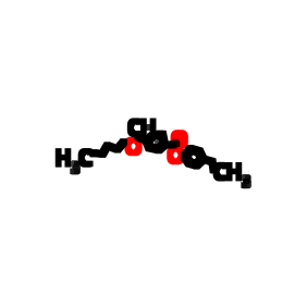 CCCCCCOC(C)c1ccc(C(=O)Oc2ccc(CCC)cc2)cc1